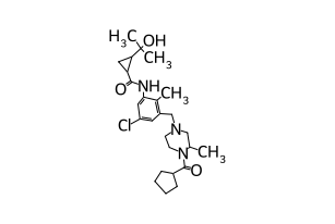 Cc1c(CN2CCN(C(=O)C3CCCC3)C(C)C2)cc(Cl)cc1NC(=O)C1CC1C(C)(C)O